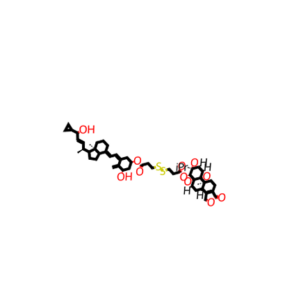 C=C1/C(=C\C=C2/CCC[C@@]3(C)C2CCC3[C@@H](C)/C=C/C(O)C2CC2)C[C@@H](OC(=O)CCSSCCC(=O)O[C@@H]2[C@@]3(C(C)C)O[C@H]3[C@@H]3O[C@]34[C@]23O[C@H]3C[C@H]2C3=C(CC[C@@]24C)C(=O)OC3)C[C@@H]1O